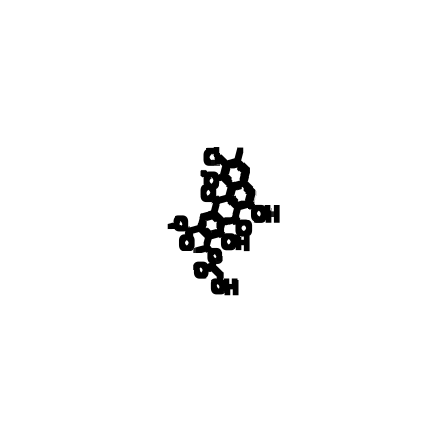 COC(=O)c1cc2c(c(O)c1C(C)OC(=O)CO)C(=O)c1c(O)cc3cc(C)c(Cl)c(OC)c3c1C2=O